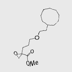 COC(=O)C1(CCCOCCC2CCCCCCCC2)CO1